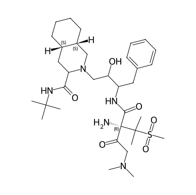 CN(C)CC(=O)[C@@](N)(C(=O)NC(Cc1ccccc1)C(O)CN1C[C@H]2CCCC[C@H]2CC1C(=O)NC(C)(C)C)C(C)(C)S(C)(=O)=O